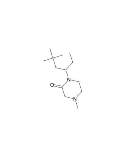 CCC(CC(C)(C)C)N1CCN(C)CC1=O